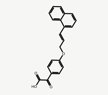 O=C(O)C(=O)c1ccc(OCC=Cc2cccc3ccccc23)cc1